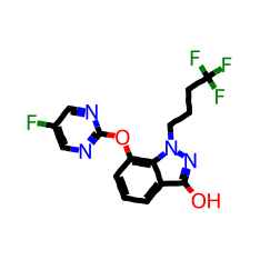 Oc1nn(CCCC(F)(F)F)c2c(Oc3ncc(F)cn3)cccc12